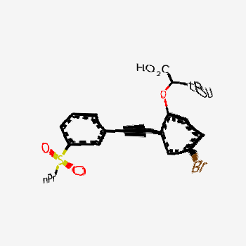 CCCS(=O)(=O)c1cccc(C#Cc2cc(Br)ccc2OC(C(=O)O)C(C)(C)C)c1